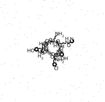 CC(O)C1NC(=O)[C@H](CCCCN)NC(=O)[C@@H](CCCCNC(=O)c2cccnc2)NC(=O)[C@H](Cc2ccc(O)cc2)NC(=O)[C@H](NC(=O)[C@@H](N)Cc2ccc(Cl)cc2)CSSC[C@@H](C(=O)N[C@H](Cc2ccc(O)cc2)C(N)=O)NC1=O